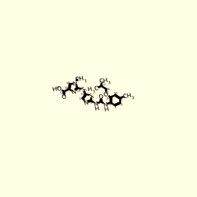 Cc1ccc(NC(=O)Nc2ncc(Sc3nc(C(=O)O)cn3C)s2)c(OCC(C)C)c1